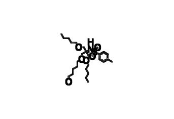 CCCCCOCC(COCCCCC)(COCCCCC=O)NS(=O)(=O)c1ccc(C)cc1